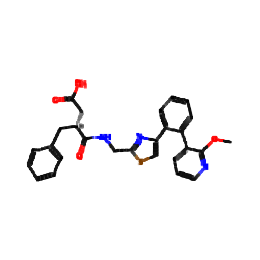 COc1ncccc1-c1ccccc1-c1csc(CNC(=O)[C@@H](CC(=O)O)Cc2ccccc2)n1